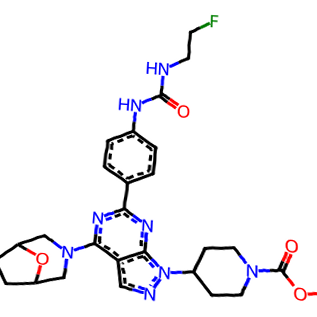 COC(=O)N1CCC(n2ncc3c(N4CC5CCC(C4)O5)nc(-c4ccc(NC(=O)NCCF)cc4)nc32)CC1